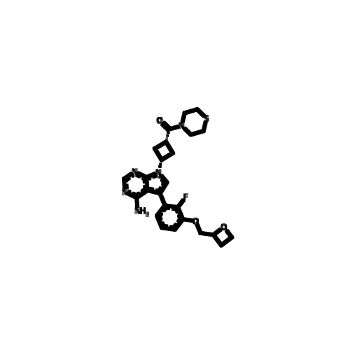 Nc1ncnc2c1c(-c1cccc(OCC3CCO3)c1F)cn2[C@H]1C[C@@H](C(=O)N2CCSCC2)C1